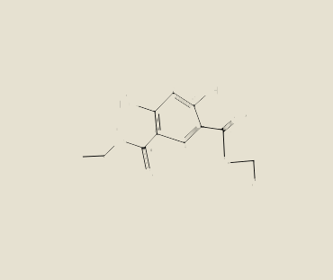 CCOC(=O)c1cc(C(=O)OCC)c(O)cc1O